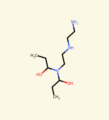 CCC(O)N(CCNCCN)C(O)CC